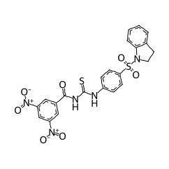 O=C(NC(=S)Nc1ccc(S(=O)(=O)N2CCc3ccccc32)cc1)c1cc([N+](=O)[O-])cc([N+](=O)[O-])c1